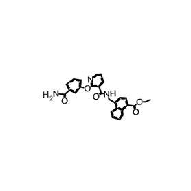 CCOC(=O)c1ccc(CNC(=O)c2cccnc2Oc2cccc(C(N)=O)c2)c2ccccc12